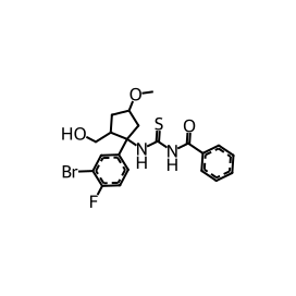 COC1CC(CO)C(NC(=S)NC(=O)c2ccccc2)(c2ccc(F)c(Br)c2)C1